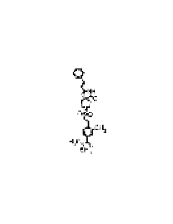 Cc1cc(C(=O)N(C)C)ccc1CCS(=O)(=O)N1CCC2(CC1)N=C(/C=C/c1ccccc1)NC2=O